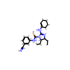 CCC1N=C(NC2=CCCCC2)N(C(=S)Nc2cccc(C#N)c2)C1CC